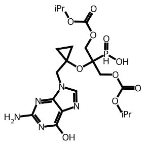 CC(C)OC(=O)OCC(COC(=O)OC(C)C)(OC1(Cn2cnc3c(O)nc(N)nc32)CC1)[PH](=O)O